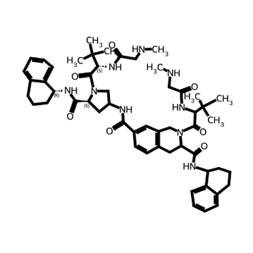 CNCC(=O)NC(C(=O)N1Cc2cc(C(=O)NC3C[C@@H](C(=O)N[C@@H]4CCCc5ccccc54)N(C(=O)[C@@H](NC(=O)CNC)C(C)(C)C)C3)ccc2CC1C(=O)NC1CCCc2ccccc21)C(C)(C)C